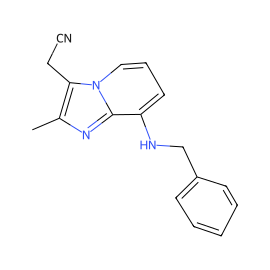 Cc1nc2c(NCc3ccccc3)cccn2c1CC#N